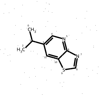 CC(C)c1cnc2ncsc2c1